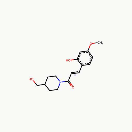 COc1ccc(/C=C/C(=O)N2CCC(CO)CC2)c(O)c1